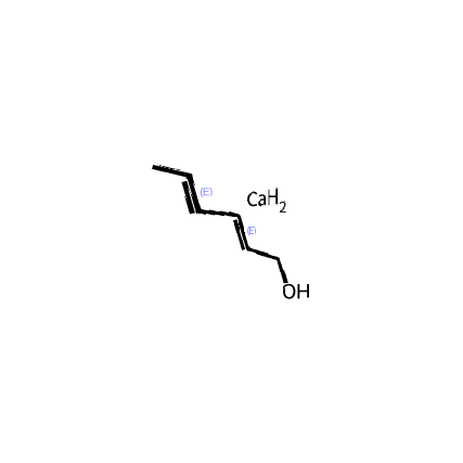 C/C=C/C=C/CO.[CaH2]